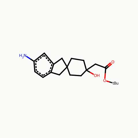 CC(C)(C)OC(=O)CC1(O)CCC2(CC1)Cc1ccc(N)cc1C2